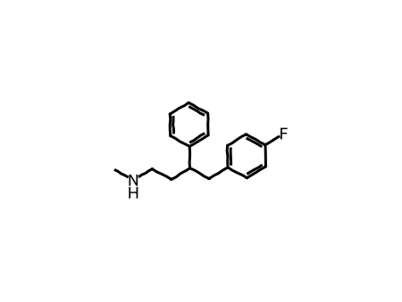 CNCCC(Cc1ccc(F)cc1)c1ccccc1